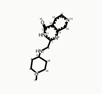 CN1CCC(NCc2nc3cnccc3c(=O)[nH]2)CC1